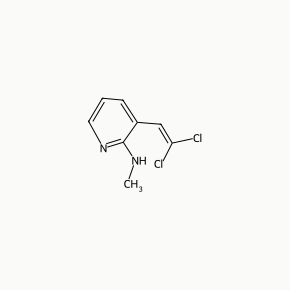 CNc1ncccc1C=C(Cl)Cl